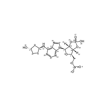 O=[N+]([O-])OC[C@H]1O[C@@H](n2cnc3c(N[C@H]4CC[C@H](O)C4)ncnc32)[C@@H]2OP(=O)(O)O[C@@H]21